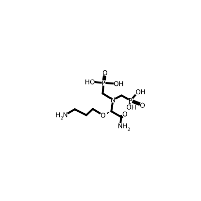 NCCCO[C@@H](C(N)=O)N(CP(=O)(O)O)CP(=O)(O)O